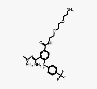 CN(N)/N=C(\N)c1cc(C(=O)NCCOCCOCCN)ccc1Nc1ccc(C(F)(F)F)cc1